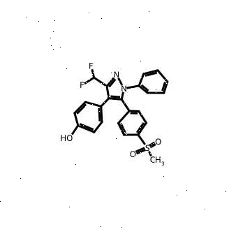 CS(=O)(=O)c1ccc(-c2c(-c3ccc(O)cc3)c(C(F)F)nn2-c2ccccc2)cc1